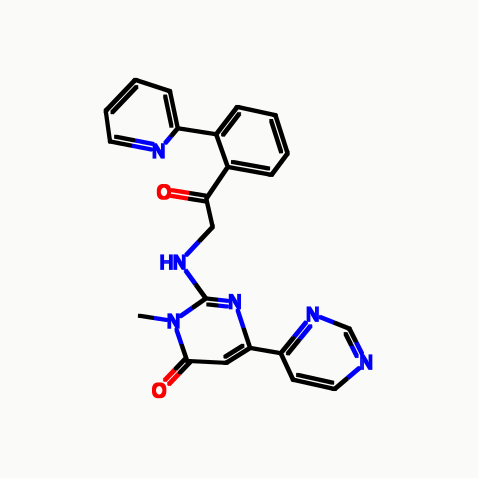 Cn1c(NCC(=O)c2ccccc2-c2ccccn2)nc(-c2ccncn2)cc1=O